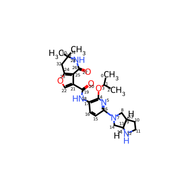 CC(C)Oc1nc(N2C[C@H]3CCN[C@H]3C2)ccc1NC(=O)c1coc2c1C(=O)NC(C)(C)C2